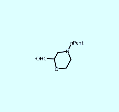 CCCCCN1CCOC([C]=O)C1